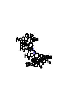 C=C1/C(=C\C=C2/CCC[C@]3(C)[C@@H]([C@H](C)C(CC(=O)C4(CCCC)CC4)OC(C)=O)CC[C@@H]23)CC(O[Si](C)(C)C(C)(C)C)CC1O[Si](C)(C)C(C)(C)C